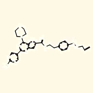 C=CCONc1ccc(CCNC(=O)c2cc3nc(-c4cnc(N)nc4)nc(N4CCOCC4)c3s2)cc1